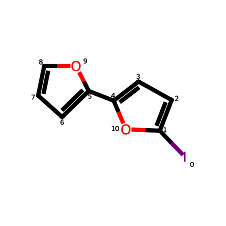 Ic1ccc(-c2ccco2)o1